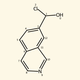 OC(Cl)c1ccc2ccncc2c1